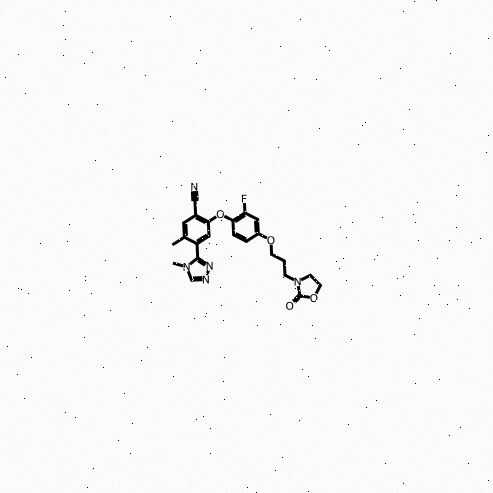 Cc1cc(C#N)c(Oc2ccc(OCCCN3CCOC3=O)cc2F)cc1-c1nncn1C